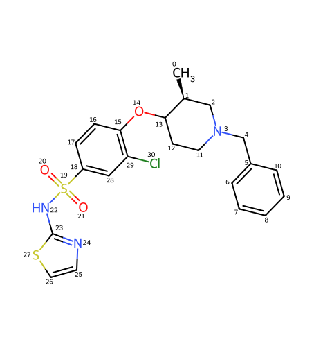 C[C@H]1CN(Cc2ccccc2)CCC1Oc1ccc(S(=O)(=O)Nc2nccs2)cc1Cl